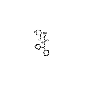 O=C(NCC(c1ccccc1)c1ccccc1)C1=CNC2CCNCC2C1=O